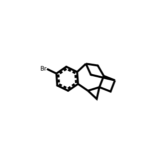 Brc1ccc2c(c1)C1CC3CC4(CC24)C3C1